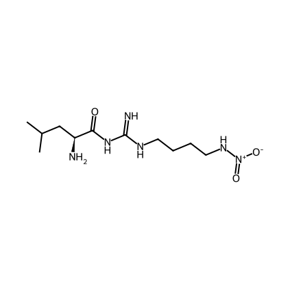 CC(C)C[C@H](N)C(=O)NC(=N)NCCCCN[N+](=O)[O-]